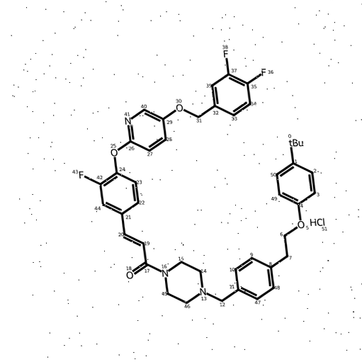 CC(C)(C)c1ccc(OCCc2ccc(CN3CCN(C(=O)C=Cc4ccc(Oc5ccc(OCc6ccc(F)c(F)c6)cn5)c(F)c4)CC3)cc2)cc1.Cl